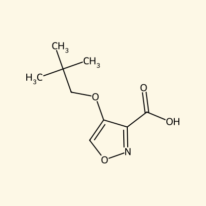 CC(C)(C)COc1conc1C(=O)O